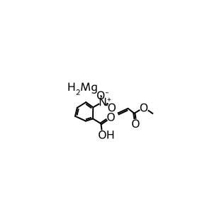 C=CC(=O)OC.O=C(O)c1ccccc1[N+](=O)[O-].[MgH2]